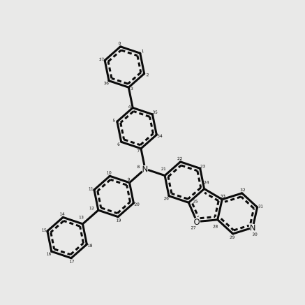 c1ccc(-c2ccc(N(c3ccc(-c4ccccc4)cc3)c3ccc4c(c3)oc3cnccc34)cc2)cc1